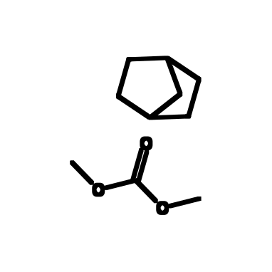 C1CC2CCC1C2.COC(=O)OC